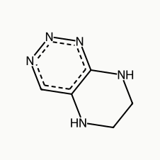 c1nnnc2c1NCCN2